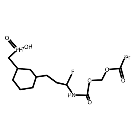 CC(C)C(=O)OCOC(=O)NC(F)CCC1CCCC(C[PH](=O)O)C1